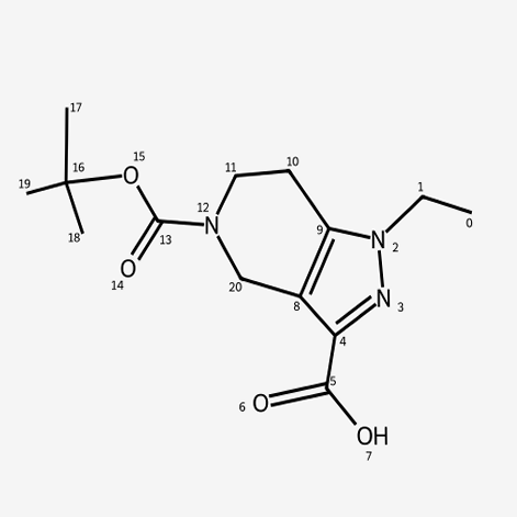 CCn1nc(C(=O)O)c2c1CCN(C(=O)OC(C)(C)C)C2